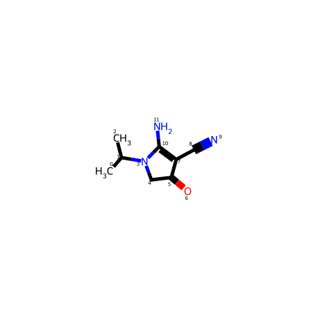 CC(C)N1CC(=O)C(C#N)=C1N